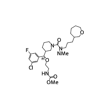 CNN(CCCC1CCCCOC1)C(=O)N1CCCC([C@@H](OCCNC(=O)OC)c2cc(F)cc(Cl)c2)C1